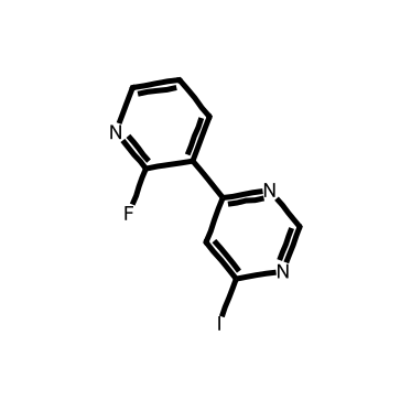 Fc1ncccc1-c1cc(I)ncn1